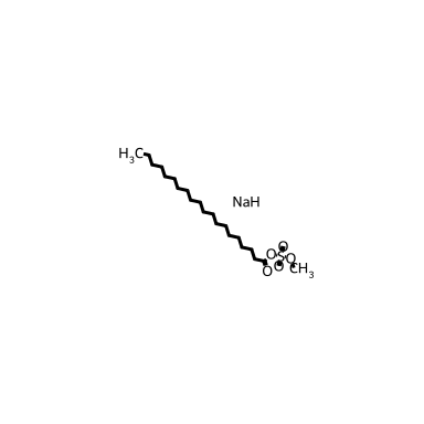 CCCCCCCCCCCCCCCCCCCC(=O)OS(=O)(=O)OC.[NaH]